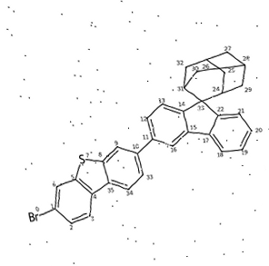 Brc1ccc2c(c1)sc1cc(-c3ccc4c(c3)-c3ccccc3C43C4CC5CC(C4)CC3C5)ccc12